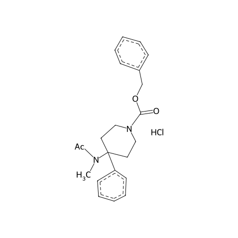 CC(=O)N(C)C1(c2ccccc2)CCN(C(=O)OCc2ccccc2)CC1.Cl